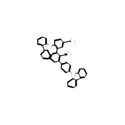 N#Cc1ccc(-n2c3ccccc3c3ccccc32)c(-c2cccc(-c3ccc(-n4c5ccccc5c5ccccc54)cc3)c2C#N)c1